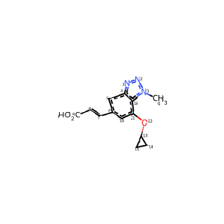 Cn1nnc2cc(C=CC(=O)O)cc(OC3CC3)c21